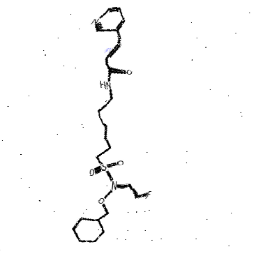 O=C(/C=C/c1cccnc1)NCCCCCCS(=O)(=O)N(CCF)OCC1CCCCC1